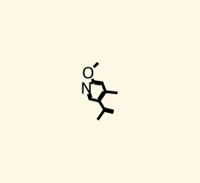 C=C(C)c1cnc(OC)cc1C